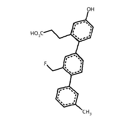 Cc1cccc(-c2ccc(-c3ccc(O)cc3CCC(=O)O)cc2CF)c1